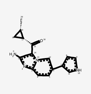 Nc1nc2ccc(-c3cc[nH]c3)cn2c1C(=O)[C@@H]1C[C@@H]1F